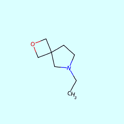 CCN1CCC2(COC2)C1